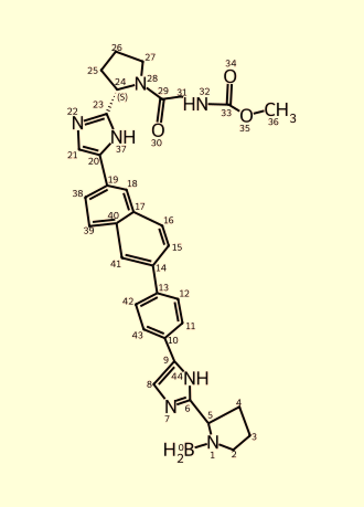 BN1CCCC1c1ncc(-c2ccc(-c3ccc4cc(-c5cnc([C@@H]6CCCN6C(=O)CNC(=O)OC)[nH]5)ccc4c3)cc2)[nH]1